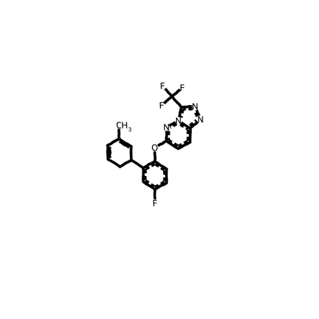 CC1=CC(c2cc(F)ccc2Oc2ccc3nnc(C(F)(F)F)n3n2)CC=C1